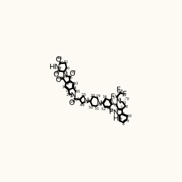 C[C@@H]1Cc2c([nH]c3ccccc23)[C@@H](c2c(F)cc(N3CCC(N4CC(C(=O)N5Cc6cc7c(cc6C5)C(=O)N(C5CCC(=O)NC5=O)C7=O)C4)CC3)cc2F)N1CC(F)F